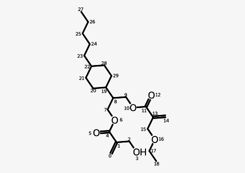 C=C(CO)C(=O)OCC(COC(=O)C(=C)COCC)C1CCC(CCCCC)CC1